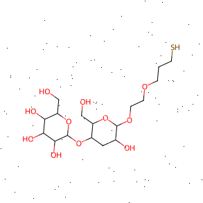 OCC1OC(OCCOCCCS)C(O)CC1OC1OC(CO)C(O)C(O)C1O